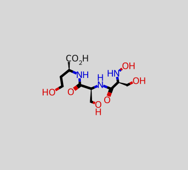 O=C(O)[C@H](CCO)NC(=O)[C@H](CO)NC(=O)[C@H](CO)NO